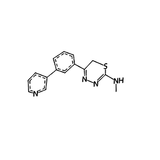 CNC1=NN=C(c2cccc(-c3cccnc3)c2)CS1